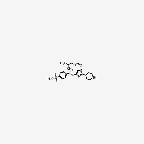 CC(C)COC=O.CS(=O)(=O)c1ccc(OCc2csc(C3CCNCC3)n2)cc1